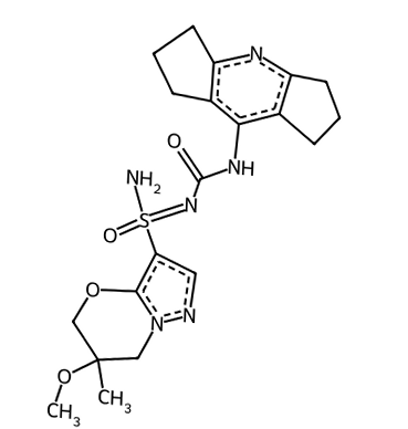 COC1(C)COc2c(S(N)(=O)=NC(=O)Nc3c4c(nc5c3CCC5)CCC4)cnn2C1